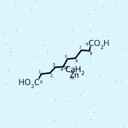 O=C(O)CCCCCCCCC(=O)O.[CaH2].[Zn]